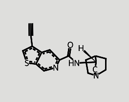 C#Cc1csc2cnc(C(=O)N[C@H]3CN4CCC3CC4)cc12